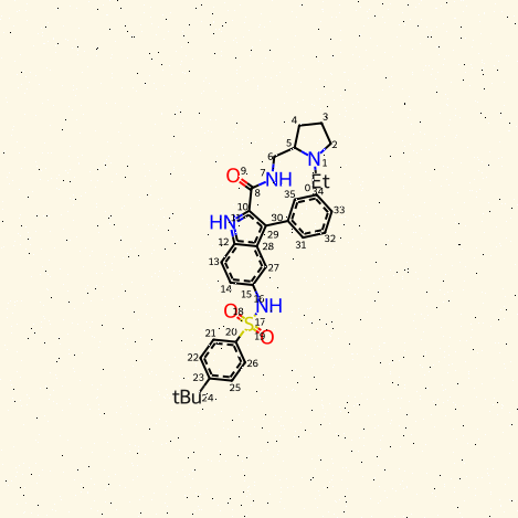 CCN1CCCC1CNC(=O)c1[nH]c2ccc(NS(=O)(=O)c3ccc(C(C)(C)C)cc3)cc2c1-c1ccccc1